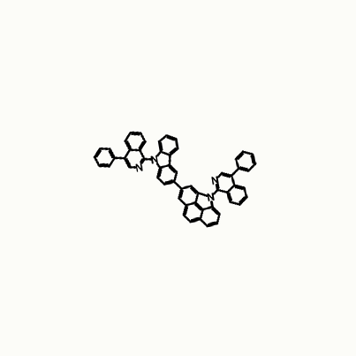 c1ccc(-c2cnc(-n3c4ccccc4c4cc(-c5cc6ccc7cccc8c7c6c(c5)n8-c5ncc(-c6ccccc6)c6ccccc56)ccc43)c3ccccc23)cc1